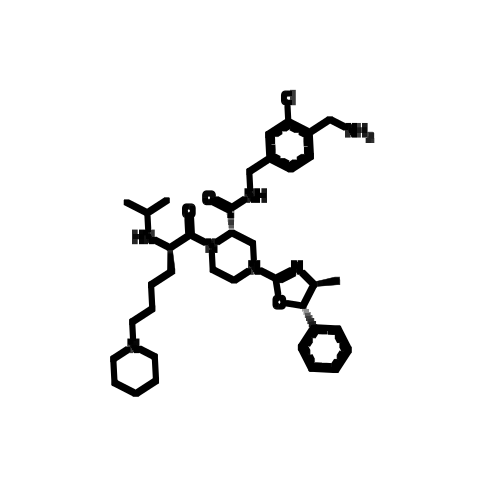 CC(C)N[C@H](CCCCN1CCCCC1)C(=O)N1CCN(C2=N[C@@H](C)[C@H](c3ccccc3)O2)C[C@H]1C(=O)NCc1ccc(CN)c(Cl)c1